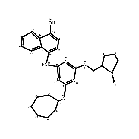 CCN1CCCC1CNc1nc(Nc2ccc(O)c3ccccc23)nc(NC2CCCCCC2)n1